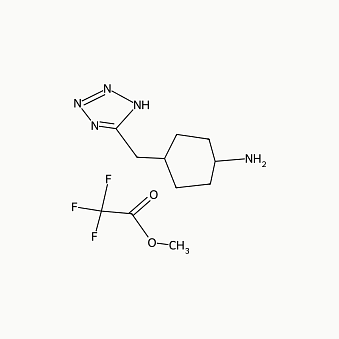 COC(=O)C(F)(F)F.NC1CCC(Cc2nnn[nH]2)CC1